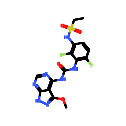 CCS(=O)(=O)Nc1ccc(F)c(NC(=O)Nc2ncnc3[nH]nc(OC)c23)c1F